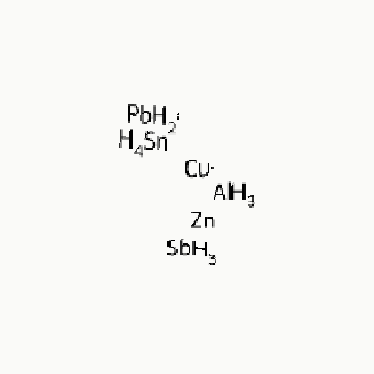 [AlH3].[Cu].[PbH2].[SbH3].[SnH4].[Zn]